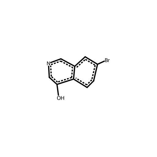 Oc1cncc2cc(Br)ccc12